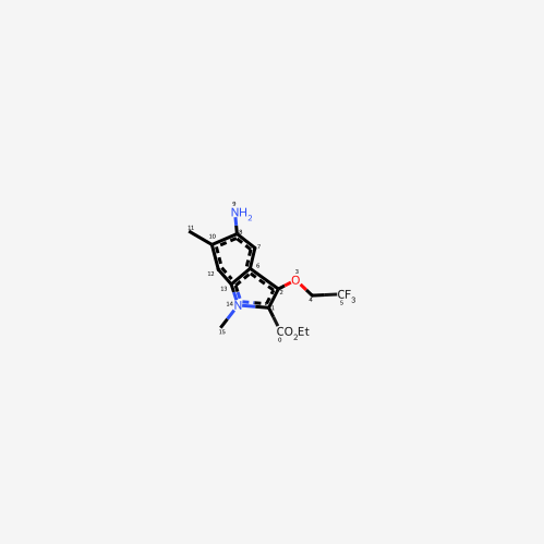 CCOC(=O)c1c(OCC(F)(F)F)c2cc(N)c(C)cc2n1C